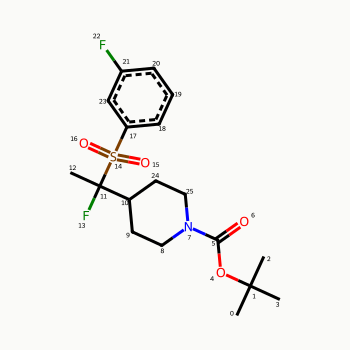 CC(C)(C)OC(=O)N1CCC(C(C)(F)S(=O)(=O)c2cccc(F)c2)CC1